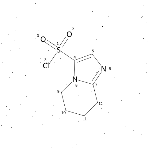 O=S(=O)(Cl)c1cnc2n1CCCC2